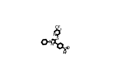 O=[SH](=O)c1ccc(-c2nn(-c3ccccc3)cc2Sc2ccc(C(F)(F)F)cn2)cc1